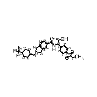 CCS(=O)(=O)c1ccc(C(CO)NC(=O)c2cnc3c(c2)CN(CC2CCC(C(F)(F)F)CC2)C3)cc1